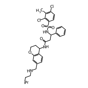 Cc1c(Cl)ccc(S(=O)(=O)NC(CC(=O)NC2CCOc3cc(CNCCC(C)C)ccc32)c2ccccc2)c1Cl